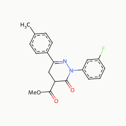 COC(=O)C1CC(c2ccc(C)cc2)=NN(c2cccc(F)c2)C1=O